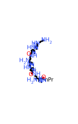 CCCNC(=O)c1nc(C(N)CCNC(=O)c2cc(Nc3nc(C(N)CCNC(=O)c4cc(Nc5nc(NCCCN)cn5C)cn4C)cn3C)cn2C)cn1C